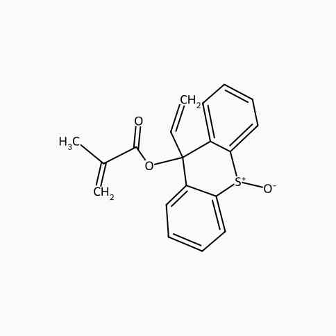 C=CC1(OC(=O)C(=C)C)c2ccccc2[S+]([O-])c2ccccc21